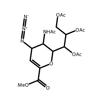 COC(=O)C1=CC(N=[N+]=[N-])C(NC(C)=O)C(C(OC(C)=O)C(COC(C)=O)OC(C)=O)O1